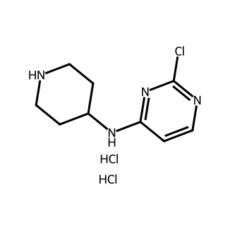 Cl.Cl.Clc1nccc(NC2CCNCC2)n1